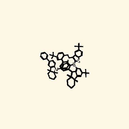 Cc1cc(N2c3ccc(-c4ccccc4)cc3C3(C)CCCCC23C)cc2c1B(c1sc3ccc(C(C)(C)C)cc3c1CCc1ccc(C(C)(C)C)cc1-c1ccccc1)c1cc(C(C)(C)C)cc3c1C2C1(C)CCCCC31C